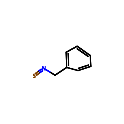 S=NCc1ccccc1